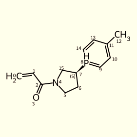 C=CC(=O)N1CC[C@H]([PH]2=CC=C(C)C=C2)C1